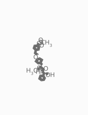 CCO[C@H](Cc1ccc(OCCc2ccc(OS(C)(=O)=O)cc2)cc1)C(=O)N[C@@H](CO)c1ccccc1